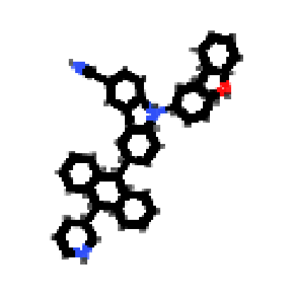 N#Cc1ccc2c(c1)c1cc(-c3c4ccccc4c(-c4cccnc4)c4ccccc34)ccc1n2-c1ccc2oc3ccccc3c2c1